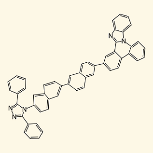 c1ccc(-c2nnc(-c3ccccc3)n2-c2ccc3cc(-c4ccc5cc(-c6ccc7c8ccccc8n8c9ccccc9nc8c7c6)ccc5c4)ccc3c2)cc1